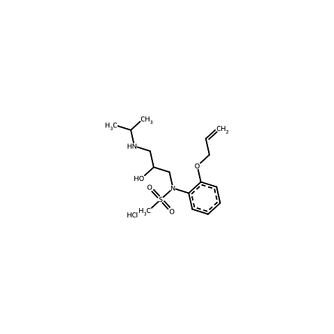 C=CCOc1ccccc1N(CC(O)CNC(C)C)S(C)(=O)=O.Cl